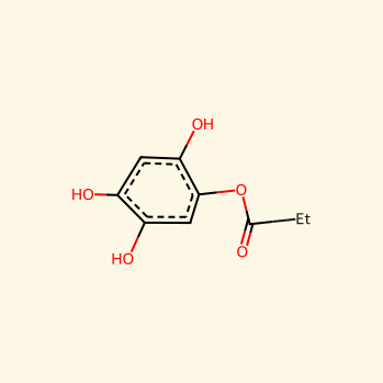 CCC(=O)Oc1cc(O)c(O)cc1O